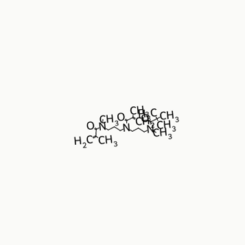 C=C(C)C(=O)N(C)CCCN(CCCN(C)C(=O)C(C)(C)C)C(=O)C(=C)C